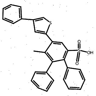 Cc1c(-c2cc(-c3ccccc3)cs2)cc(S(=O)(=O)O)c(-c2ccccc2)c1-c1ccccc1